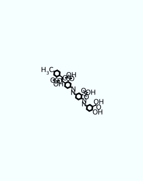 Cc1ccc(/C=C/c2ccc(N=Nc3ccc(N=Nc4ccc(O)c(C(=O)O)c4)c(S(=O)(=O)O)c3)cc2S(=O)(=O)O)c(S(=O)(=O)O)c1